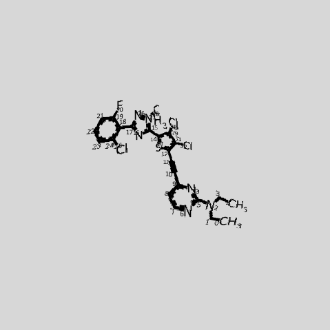 CCN(CC)c1nccc(C#Cc2sc(-c3nc(-c4c(F)cccc4Cl)nn3C)c(Cl)c2Cl)n1